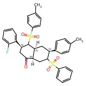 Cc1ccc([C@@H]2C[C@@H]3C(S(=O)(=O)c4ccc(C)cc4)[C@H](c4ccccc4F)CC(=O)[C@@H]3CC2S(=O)(=O)c2ccccc2)cc1